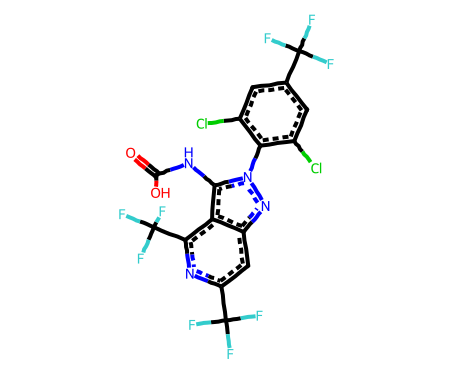 O=C(O)Nc1c2c(C(F)(F)F)nc(C(F)(F)F)cc2nn1-c1c(Cl)cc(C(F)(F)F)cc1Cl